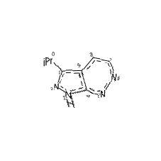 CC(C)c1n[nH]c2nnccc12